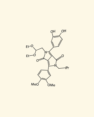 CCOC(CN1C(=O)C2=C(c3ccc(OC)c(OC)c3)N(CC(C)C)C(=O)C2=C1c1ccc(O)c(O)c1)OCC